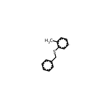 Cc1cc[c]cc1SCc1ccccc1